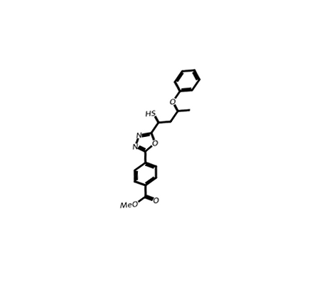 COC(=O)c1ccc(-c2nnc(C(S)CC(C)Oc3ccccc3)o2)cc1